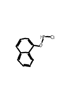 ClPOc1cccc2ccccc12